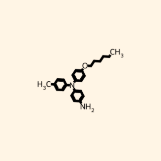 CCCCCCOc1ccc(N(c2ccc(C)cc2)c2ccc(N)cc2)cc1